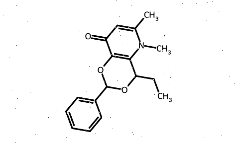 CCC1OC(c2ccccc2)Oc2c1n(C)c(C)cc2=O